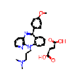 COc1ccc(C2=Nc3cccnc3N(CCCN(C)C)c3ccccc32)cc1.O=C(O)/C=C/C(=O)O